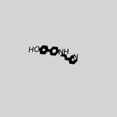 Oc1ccc(C2CCC(NCCCc3cccnc3)CC2)cc1